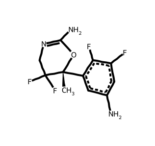 C[C@]1(c2cc(N)cc(F)c2F)OC(N)=NCC1(F)F